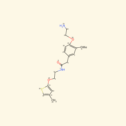 COc1cc(CC(=O)NCCOc2cc(C)cs2)ccc1OCCN